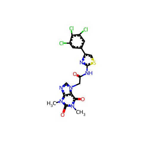 Cn1c(=O)c2c(ncn2CC(=O)Nc2nc(-c3cc(Cl)c(Cl)c(Cl)c3)cs2)n(C)c1=O